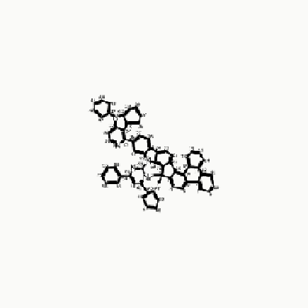 CC1(C)c2ccc3c4ccccc4c4ccccc4c3c2-c2ccc3c4ccc(-c5nccc6c5c5ccccc5n6-c5ccccc5)cc4n(-c4nc(-c5ccccc5)cc(-c5ccccc5)n4)c3c21